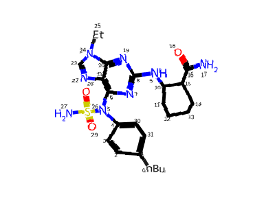 CCCCc1ccc(N(c2nc(NC3CCCCC3C(N)=O)nc3c2ncn3CC)S(N)(=O)=O)cc1